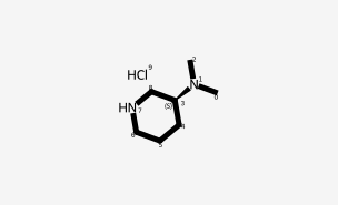 CN(C)[C@H]1CCCNC1.Cl